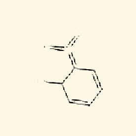 O=S(=O)=C1C=CC=CC1O